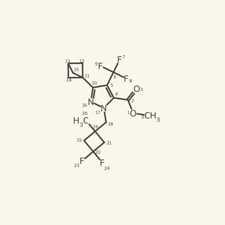 COC(=O)c1c(C(F)(F)F)c(C23CC(C2)C3)nn1CC1(C)CC(F)(F)C1